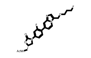 CC(=O)NC[C@H]1CN(c2ccc(-c3ccn4c(COCCCF)cnc4c3)c(F)c2)C(=O)O1